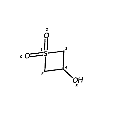 O=S1(=O)CC(O)C1